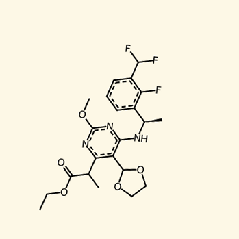 CCOC(=O)C(C)c1nc(OC)nc(N[C@H](C)c2cccc(C(F)F)c2F)c1C1OCCO1